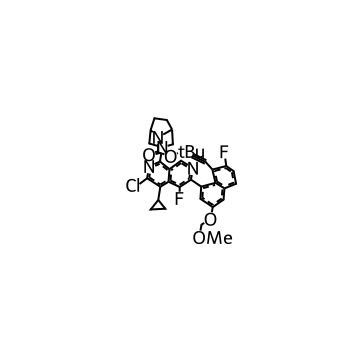 C#Cc1c(F)ccc2cc(OCOC)cc(-c3ncc4c(N5CC6CCC(C5)N6C(=O)OC(C)(C)C)nc(Cl)c(C5CC5)c4c3F)c12